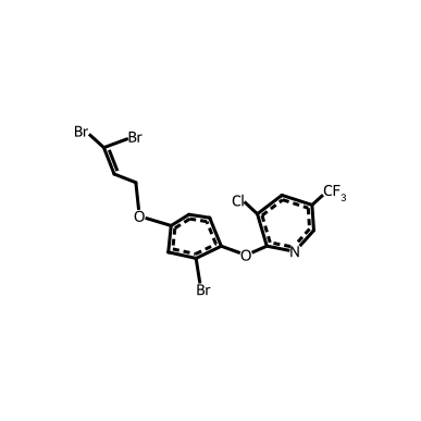 FC(F)(F)c1cnc(Oc2ccc(OCC=C(Br)Br)cc2Br)c(Cl)c1